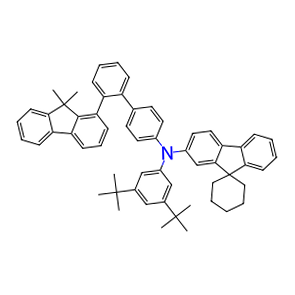 CC(C)(C)c1cc(N(c2ccc(-c3ccccc3-c3cccc4c3C(C)(C)c3ccccc3-4)cc2)c2ccc3c(c2)C2(CCCCC2)c2ccccc2-3)cc(C(C)(C)C)c1